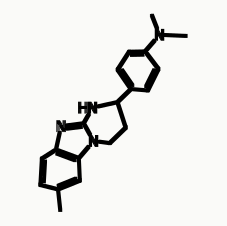 Cc1ccc2nc3n(c2c1)CCC(c1ccc(N(C)C)cc1)N3